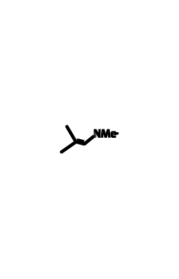 C[N]C=C(C)C